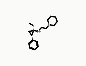 CC[C@@]1(NCCN2CCCCC2)C[C@H]1c1ccccc1